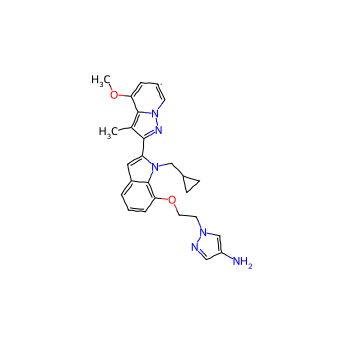 COc1c[c]cn2nc(-c3cc4cccc(OCCn5cc(N)cn5)c4n3CC3CC3)c(C)c12